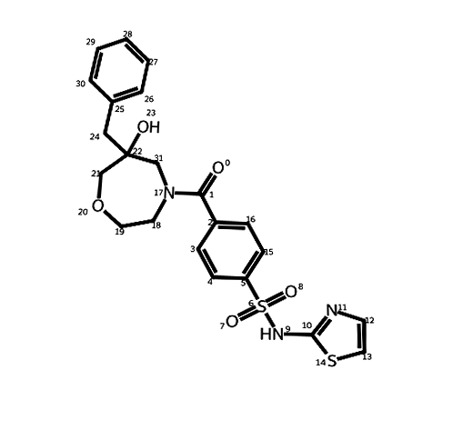 O=C(c1ccc(S(=O)(=O)Nc2nccs2)cc1)N1CCOCC(O)(Cc2ccccc2)C1